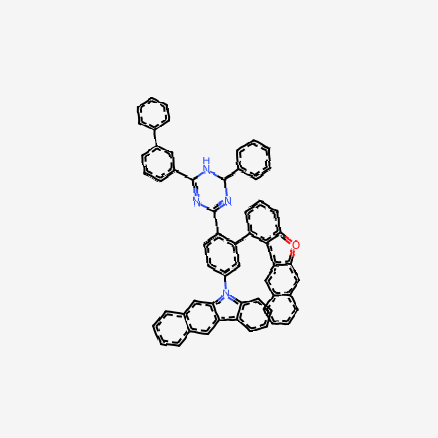 c1ccc(-c2cccc(C3=NC(c4ccc(-n5c6ccccc6c6cc7ccccc7cc65)cc4-c4cccc5oc6cc7ccccc7cc6c45)=NC(c4ccccc4)N3)c2)cc1